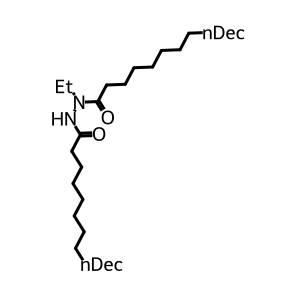 CCCCCCCCCCCCCCCCCC(=O)NN(CC)C(=O)CCCCCCCCCCCCCCCCC